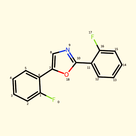 Fc1ccccc1-c1cnc(-c2ccccc2F)o1